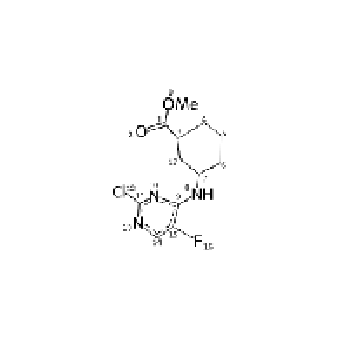 COC(=O)C1CCCC(Nc2nc(Cl)ncc2F)C1